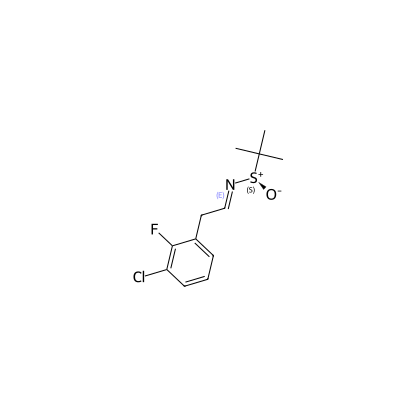 CC(C)(C)[S@@+]([O-])/N=C/Cc1cccc(Cl)c1F